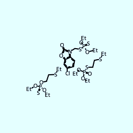 CCOP(=O)(OCC)SCCSCC.CCOP(=S)(OCC)OCCSCC.CCOP(=S)(OCC)SCn1c(=O)oc2cc(Cl)ccc21